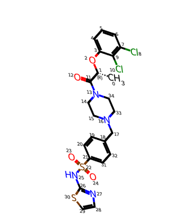 C[C@@H](Oc1cccc(Cl)c1Cl)C(=O)N1CCN(Cc2ccc(S(=O)(=O)Nc3nccs3)cc2)CC1